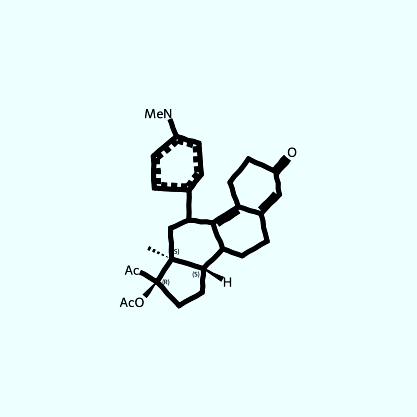 CNc1ccc(C2C[C@@]3(C)[C@@H](CC[C@]3(OC(C)=O)C(C)=O)C3CCC4=CC(=O)CCC4=C23)cc1